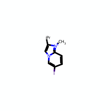 CC(C)c1cn2cc(I)ccc2[n+]1C